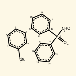 CC(C)(C)c1ccccc1.O=CP(=O)(c1ccccc1)c1ccccc1